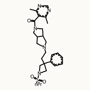 CCCS(=O)(=O)N1CC(CCN2CC3CN(C(=O)c4c(C)ncnc4C)CC3C2)(c2ccccc2)C1